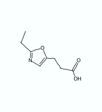 CCc1ncc(CCC(=O)O)o1